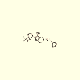 Oc1c2c(nn1-c1cccc(C(F)(F)F)n1)CCC(NCCc1ccccc1)C2